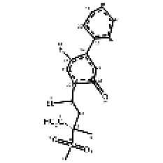 CCC(C[C@](C)(C(=O)O)S(C)(=O)=O)n1cc(F)c(-c2ccccc2)cc1=O